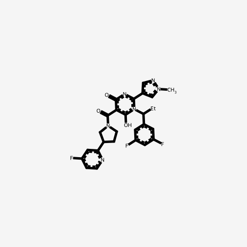 CCC(c1cc(F)cc(F)c1)n1c(-c2cnn(C)c2)nc(=O)c(C(=O)N2CCC(c3cc(F)ccn3)C2)c1O